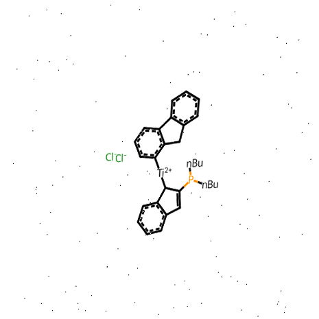 CCCCP(CCCC)C1=Cc2ccccc2[CH]1[Ti+2][c]1cccc2c1Cc1ccccc1-2.[Cl-].[Cl-]